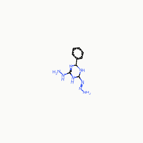 NN=NC1NC(NN)=NC(c2ccccc2)N1